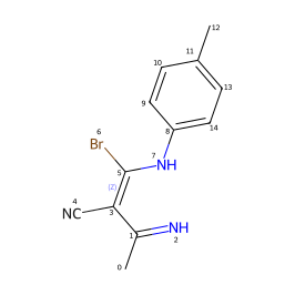 CC(=N)/C(C#N)=C(/Br)Nc1ccc(C)cc1